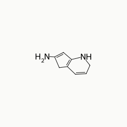 NC1=CC2=C(C=CCN2)C1